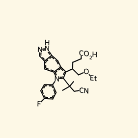 CCOCC(CCC(=O)O)c1c(C(C)(C)CC#N)n(-c2ccc(F)cc2)c2cc3cn[nH]c3cc12